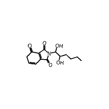 CCCCC(O)C(O)N1C(=O)C2=C(C(=O)CC=C2)C1=O